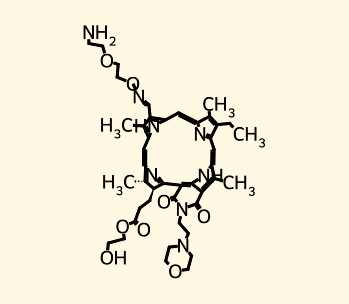 CCC1=C(C)c2cc3[nH]c(cc4nc(c5c6[nH]c(cc1n2)c(C)c6C(=O)N(CCN1CCOCC1)C5=O)[C@@H](CCC(=O)OCCO)[C@@H]4C)c(C)c3/C=N/OCCOCCN